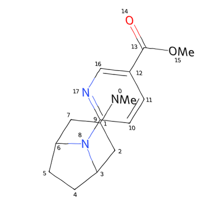 CNC1CC2CCC(C1)N2c1ccc(C(=O)OC)cn1